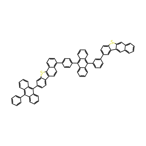 c1ccc(-c2c3ccccc3c(-c3ccc4c(c3)sc3c5cccc(-c6ccc(-c7c8ccccc8c(-c8cccc(-c9ccc%10sc%11cc%12ccccc%12cc%11c%10c9)c8)c8ccccc78)cc6)c5ccc43)c3ccccc23)cc1